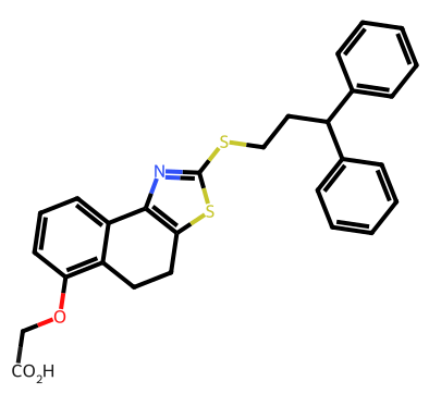 O=C(O)COc1cccc2c1CCc1sc(SCCC(c3ccccc3)c3ccccc3)nc1-2